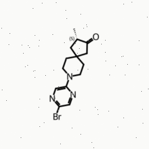 C[C@H]1CC2(CCN(c3cnc(Br)cn3)CC2)CC1=O